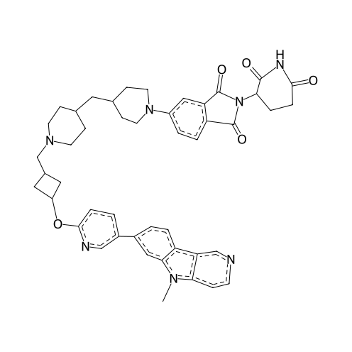 Cn1c2ccncc2c2ccc(-c3ccc(OC4CC(CN5CCC(CC6CCN(c7ccc8c(c7)C(=O)N(C7CCC(=O)NC7=O)C8=O)CC6)CC5)C4)nc3)cc21